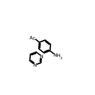 CC(=O)c1ccc(N)cc1.c1cncnc1